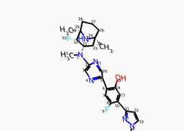 CN(c1cnc(-c2cc(F)c(-c3ccn(C)n3)cc2O)cn1)[C@H]1C[C@]2(C)CCC[C@@](C)(N2)[C@H]1F